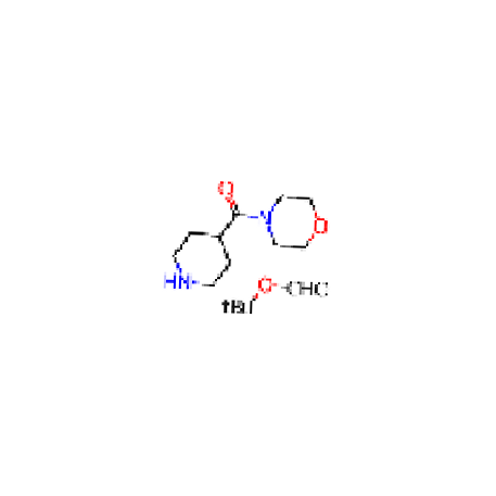 CC(C)(C)OC=O.O=C(C1CCNCC1)N1CCOCC1